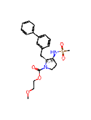 COCCOC(=O)N1CC[C@H](NS(C)(=O)=O)[C@@H]1Cc1cccc(-c2ccccc2)c1